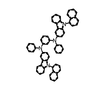 c1ccc(N(c2cccc(N(c3ccccc3)c3ccc4c(c3)c3ccccc3n4-c3cccc4ccccc34)c2)c2ccc3c(c2)c2ccccc2n3-c2cccc3ccccc23)cc1